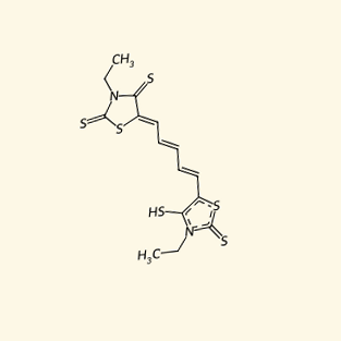 CCN1C(=S)S\C(=C/C=C/C=C/c2sc(=S)n(CC)c2S)C1=S